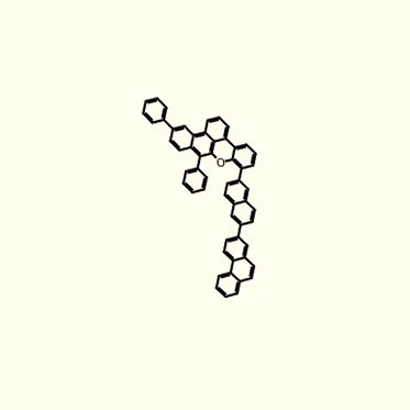 c1ccc(-c2ccc3c(-c4ccccc4)c4c5c(cccc5c3c2)-c2cccc(-c3ccc5cc(-c6ccc7c(ccc8ccccc87)c6)ccc5c3)c2O4)cc1